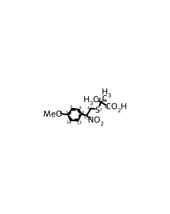 COc1ccc(C(CSC(C)(C)C(=O)O)[N+](=O)[O-])cc1